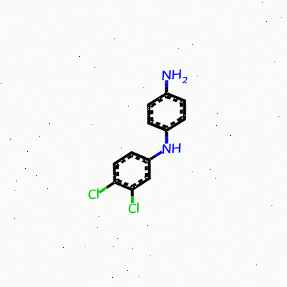 Nc1ccc(Nc2ccc(Cl)c(Cl)c2)cc1